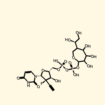 C#C[C@@]1(F)[C@H](O)[C@@H](COP(=O)(S)OP(=O)(O)OC2OCC([C@@H](O)CO)C(O)C(O)C2O)O[C@H]1n1ccc(=O)[nH]c1=O